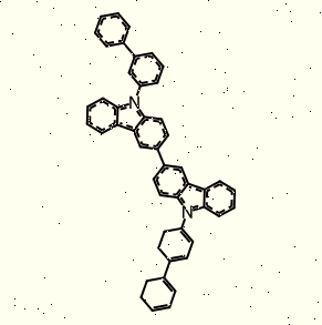 C1=CCCC(C2=CC=C(n3c4ccccc4c4cc(-c5ccc6c(c5)c5ccccc5n6-c5cccc(-c6ccccc6)c5)ccc43)CC2)=C1